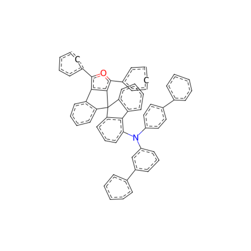 c1ccc(-c2ccc(N(c3cccc(-c4ccccc4)c3)c3cccc4c3-c3ccccc3C43c4ccccc4-c4c(-c5ccccc5)oc(-c5ccccc5)c43)cc2)cc1